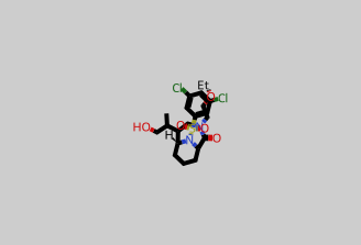 CCOCCN1CC(C(C)CO)[C@@H]2CCCC(C1=O)N2S(=O)(=O)c1cc(Cl)cc(Cl)c1